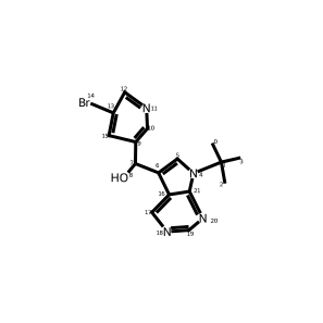 CC(C)(C)n1cc(C(O)c2cncc(Br)c2)c2cncnc21